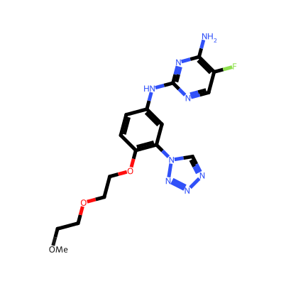 COCCOCCOc1ccc(Nc2ncc(F)c(N)n2)cc1-n1cnnn1